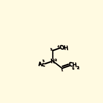 C=CN(CO)C(C)=O